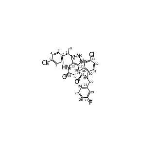 CC(c1ccc(Cl)cc1)n1nnc2c1NC(=O)C[C@]21C(=O)N(Cc2cccc(F)c2)c2ccc(Cl)cc21